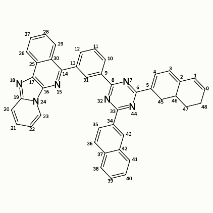 C1=CC2=CC=C(c3nc(-c4cccc(-c5nc6c(nc7ccccn76)c6ccccc56)c4)nc(-c4ccc5ccccc5c4)n3)CC2CC1